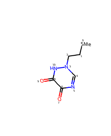 CSCCn1[c]nc(=O)c(=O)[nH]1